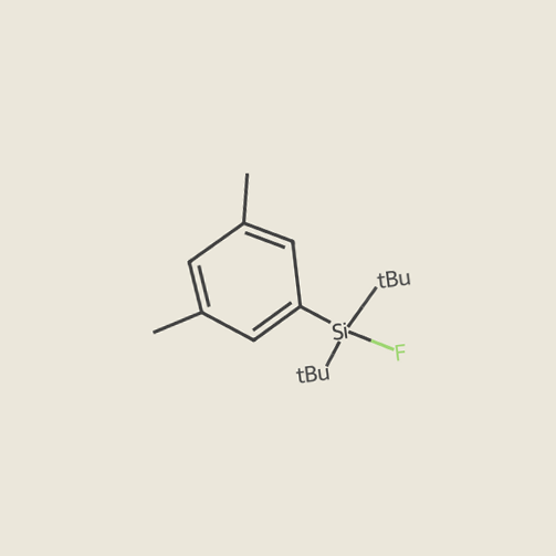 Cc1cc(C)cc([Si](F)(C(C)(C)C)C(C)(C)C)c1